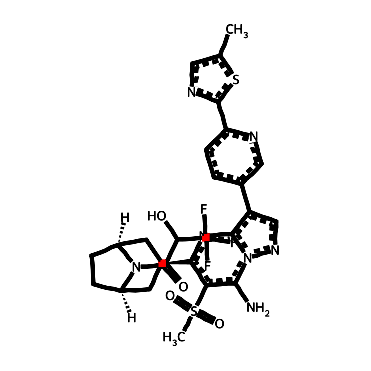 Cc1cnc(-c2ccc(-c3cnn4c(N)c(S(C)(=O)=O)c([C@H]5C[C@H]6CC[C@@H](C5)N6C(=O)C(O)C(F)(F)F)nc34)cn2)s1